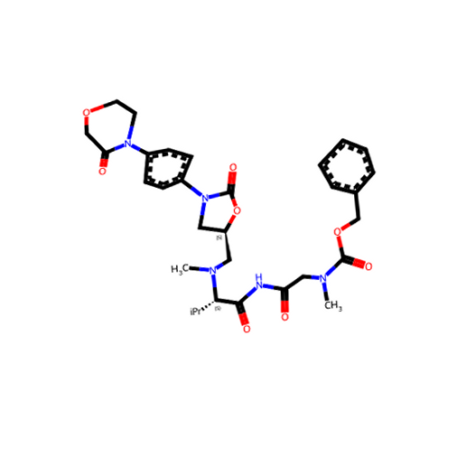 CC(C)[C@@H](C(=O)NC(=O)CN(C)C(=O)OCc1ccccc1)N(C)C[C@H]1CN(c2ccc(N3CCOCC3=O)cc2)C(=O)O1